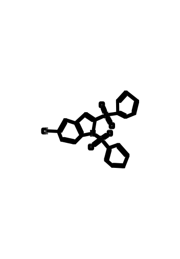 O=S(=O)(c1ccccc1)c1cc2cc(Cl)ccc2n1S(=O)(=O)c1ccccc1